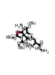 CC(C)(C)OC(=O)C(SSCC(N)C(=O)NN)[C@](C(=O)NN)(C(=O)OC(C)(C)C)N(C(=O)OC(C)(C)C)C(=O)OC(C)(C)C